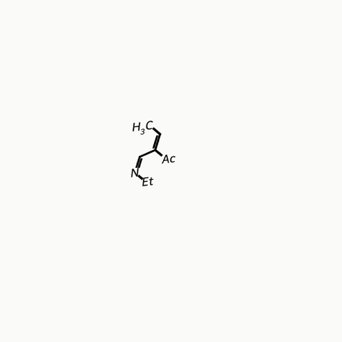 C/C=C(\C=N/CC)C(C)=O